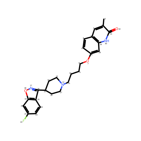 Cc1cc2ccc(OCCCCN3CCC(c4noc5cc(F)ccc45)CC3)cc2[nH]c1=O